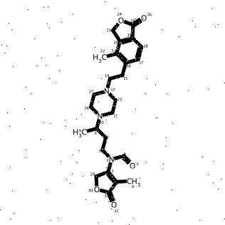 CC1=C(N(C=O)CCC(C)N2CCN(CCc3ccc4c(c3C)COC4=O)CC2)COC1=O